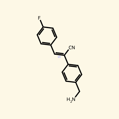 N#C/C(=C\c1ccc(F)cc1)c1ccc(CN)cc1